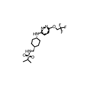 CC(C)S(=O)(=O)NC[C@H]1CC[C@H](Nc2ccc(OCC(F)(F)F)nn2)CC1